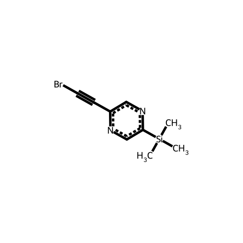 C[Si](C)(C)c1cnc(C#CBr)cn1